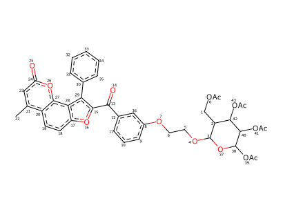 CC(=O)OCC1C(OCCOc2cccc(C(=O)c3oc4ccc5c(C)cc(=O)oc5c4c3-c3ccccc3)c2)OC(OC(C)=O)C(OC(C)=O)C1OC(C)=O